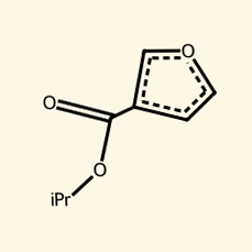 CC(C)OC(=O)c1ccoc1